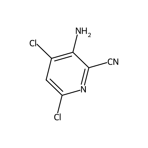 N#Cc1nc(Cl)cc(Cl)c1N